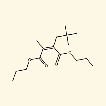 CCCOC(=O)/C(C)=C(/CC(C)(C)C)C(=O)OCCC